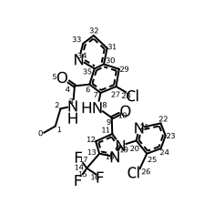 CCCNC(=O)c1c(NC(=O)c2cc(C(F)(F)F)nn2-c2ncccc2Cl)c(Cl)cc2cccnc12